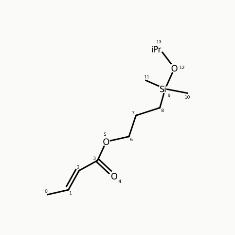 CC=CC(=O)OCCC[Si](C)(C)OC(C)C